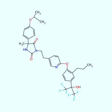 CCCc1cc(C(O)(C(F)(F)F)C(F)(F)F)ccc1Oc1ccc(CCN2C(=O)NC(C)(c3ccc(OC(C)C)cc3)C2=O)cn1